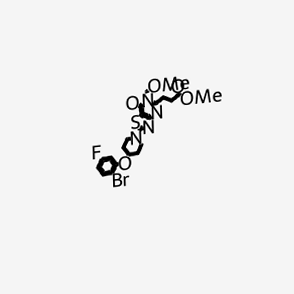 COCn1c(CCC(=O)OC)nc2nc(N3CCC(Oc4cc(F)ccc4Br)CC3)sc2c1=O